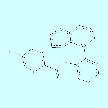 O=C(Nc1ccccc1-c1cccc2ccccc12)c1ncc(Br)cn1